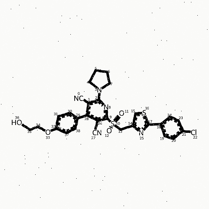 N#Cc1c(N2CCCC2)nc(S(=O)(=O)Cc2csc(-c3ccc(Cl)cc3)n2)c(C#N)c1-c1ccc(OCCO)cc1